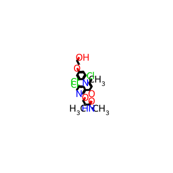 CNC(=O)C(C)COc1ncc(Cl)c2c1c(=O)cc(C)n2-c1c(Cl)cc(OCCO)cc1Cl